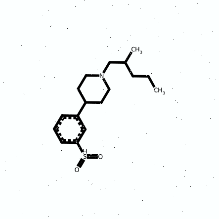 CCCC(C)CN1CCC(c2cccc([SH](=O)=O)c2)CC1